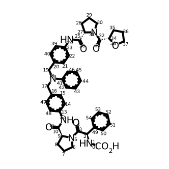 O=C(O)N[C@@H](C(=O)N1CCC[C@H]1C(=O)Nc1ccc(CN(Cc2ccc(NC(=O)[C@@H]3CCCN3C(=O)[C@@H]3CCCO3)cc2)c2ccccc2)cc1)c1ccccc1